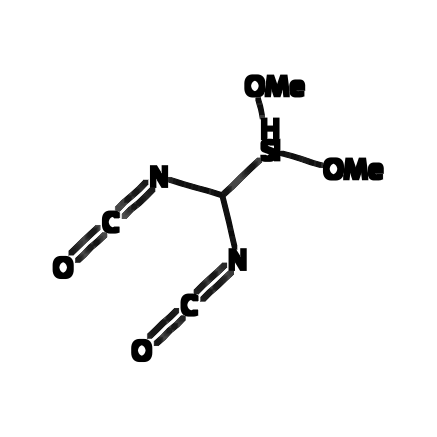 CO[SiH](OC)C(N=C=O)N=C=O